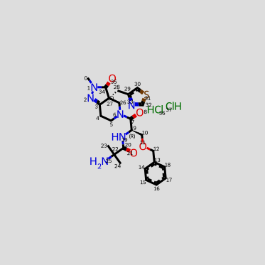 CN1N=C2CCN(C(=O)[C@@H](COCc3ccccc3)NC(=O)C(C)(C)N)C[C@]2(Cc2cscn2)C1=O.Cl.Cl